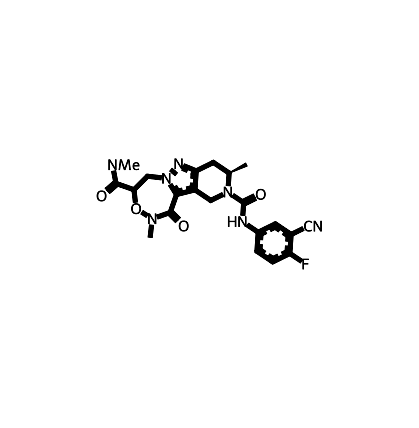 CNC(=O)C1Cn2nc3c(c2C(=O)N(C)O1)CN(C(=O)Nc1ccc(F)c(C#N)c1)[C@H](C)C3